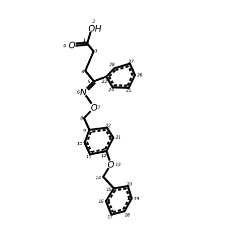 O=C(O)CC/C(=N/OCc1ccc(OCc2ccccc2)cc1)c1ccccc1